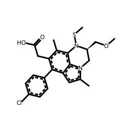 COC[C@H]1Cn2c(C)cc3c(-c4ccc(Cl)cc4)c(CC(=O)O)c(C)c(c32)N1SC